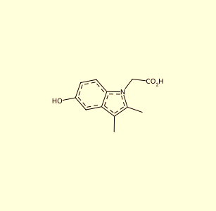 Cc1c(C)n(CC(=O)O)c2ccc(O)cc12